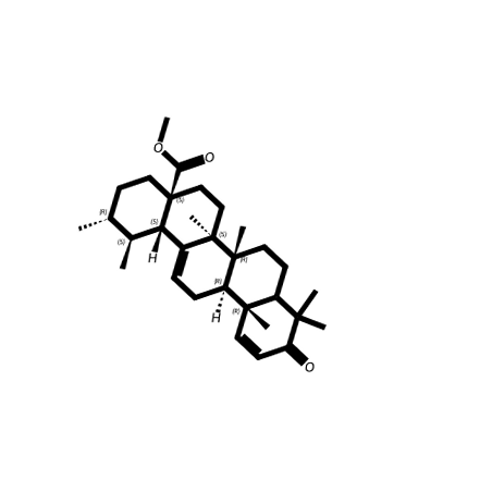 COC(=O)[C@]12CC[C@@H](C)[C@H](C)[C@H]1C1=CC[C@@H]3[C@@]4(C)C=CC(=O)C(C)(C)C4CC[C@@]3(C)[C@]1(C)CC2